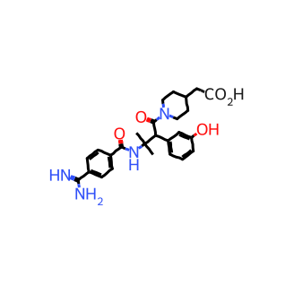 CC(C)(NC(=O)c1ccc(C(=N)N)cc1)C(C(=O)N1CCC(CC(=O)O)CC1)c1cccc(O)c1